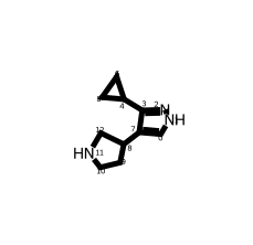 c1[nH]nc(C2CC2)c1C1CCNC1